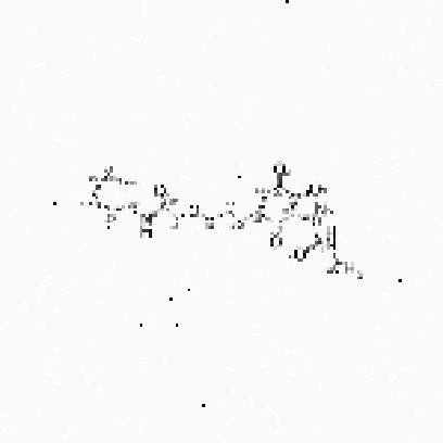 CNC(=O)c1noc2c1C(=O)C(SCCOCC(=O)Nc1ccccc1)=CC2=O